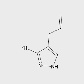 [2H]c1n[nH]cc1CC=C